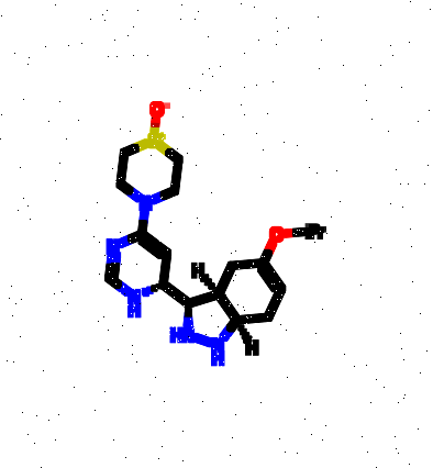 CC(C)OC1=CC[C@H]2NN[C@@H]([C@H]3C=C(N4CC[S+]([O-])CC4)N=CN3)[C@H]2C1